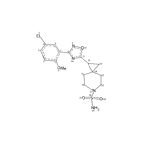 COc1ccc(Cl)cc1-c1noc(C2CC23CCN(S(N)(=O)=O)CC3)n1